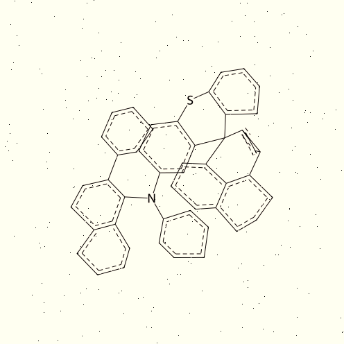 c1ccc(-c2ccc3ccccc3c2N(c2ccccc2)c2ccc3c(c2)C2(c4ccccc4S3)c3ccccc3-c3cccc4cccc2c34)cc1